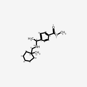 COC(=O)c1ccc(C(C)NCC2(C)CCCCC2)cc1